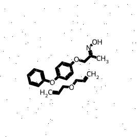 C=CCOCC=C.CC(COc1ccc(Oc2ccccc2)cc1)=NO